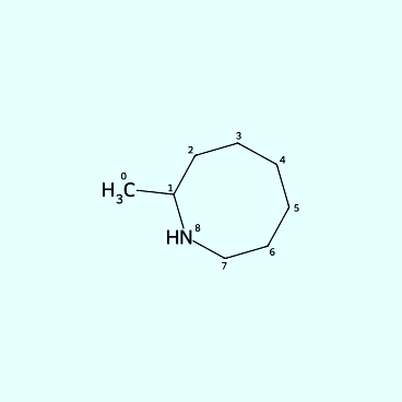 CC1CCCCCCN1